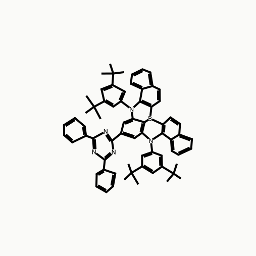 CC(C)(C)c1cc(N2c3cc(-c4nc(-c5ccccc5)nc(-c5ccccc5)n4)cc4c3B(c3ccc5ccccc5c32)c2ccc3ccccc3c2N4c2cc(C(C)(C)C)cc(C(C)(C)C)c2)cc(C(C)(C)C)c1